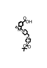 Cn1nc(N2CCC(CN3CCN(C(=O)OC(C)(C)C)CC3)CC2)c2cc(C(=O)O)ccc21